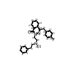 CCN(CCc1ccccc1)CCn1nc(Cc2ccc(F)cc2)c2ccccc2c1=O